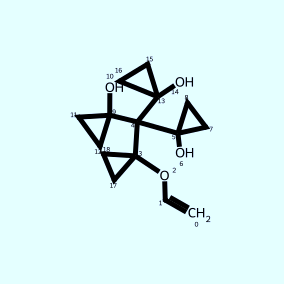 C=COC1(C(C2(O)CC2)(C2(O)CC2)C2(O)CC2)CC1